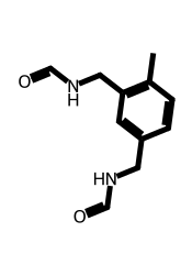 Cc1ccc(CNC=O)cc1CNC=O